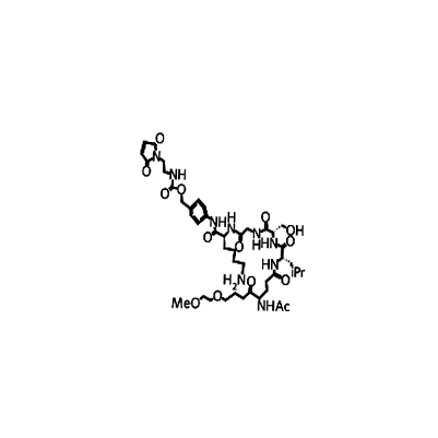 COCCOCCCC(=O)[C@H](CCC(=O)N[C@@H](CC(C)C)C(=O)N[C@@H](CO)C(=O)NCC(=O)N[C@@H](CCCCN)C(=O)Nc1ccc(COC(=O)NCCN2C(=O)C=CC2=O)cc1)NC(C)=O